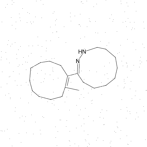 CC1=C(C2=NNCCCCCCCC2)CCCCCCCCC1